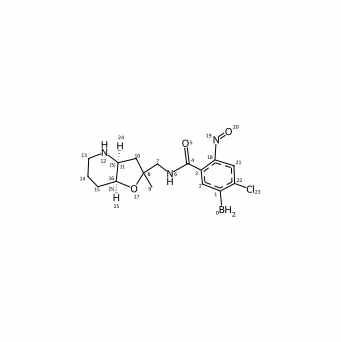 Bc1cc(C(=O)NCC2(C)C[C@@H]3NCCC[C@@H]3O2)c(N=O)cc1Cl